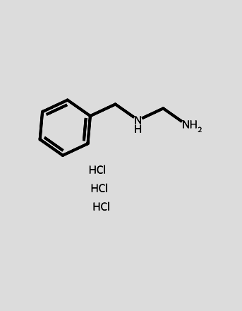 Cl.Cl.Cl.NCNCc1ccccc1